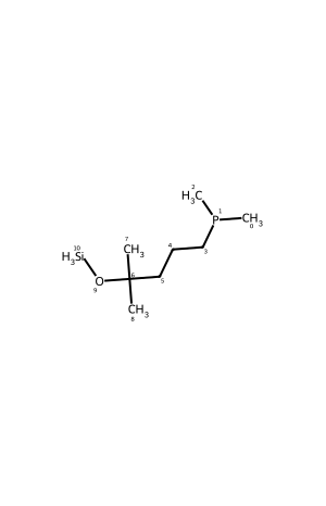 CP(C)CCCC(C)(C)O[SiH3]